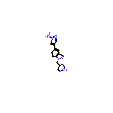 IPn1cc(-c2ccc3c(cnn3CC3CCNCC3)c2)cn1